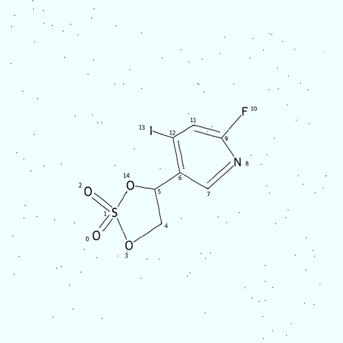 O=S1(=O)OCC(c2cnc(F)cc2I)O1